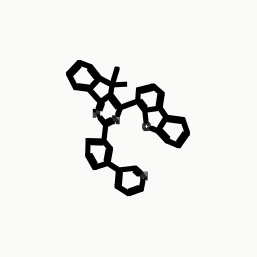 CC1(C)c2ccccc2-c2nc(-c3cccc(-c4cccnc4)c3)nc(-c3cccc4c3oc3ccccc34)c21